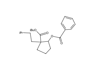 CC(C)CCC1(C(=O)OCC(C)C)CCCC1OC(=O)c1ccccc1